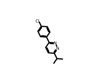 CC(C)c1ccc(-c2ccc(Cl)cc2)nn1